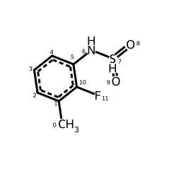 Cc1cccc(N[SH](=O)=O)c1F